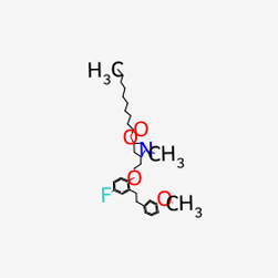 CCCCCCCCCC(=O)OC1CC(CCOc2ccc(F)cc2CCc2cccc(OC)c2)N(C)C1